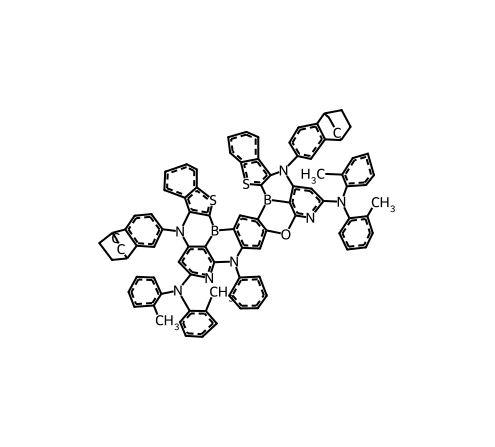 Cc1ccccc1N(c1cc2c3c(n1)Oc1cc4c(cc1B3c1sc3ccccc3c1N2c1ccc2c(c1)C1CCC2CC1)B1c2sc3ccccc3c2N(c2ccc3c(c2)C2CCC3CC2)c2cc(N(c3ccccc3C)c3ccccc3C)nc(c21)N4c1ccccc1)c1ccccc1C